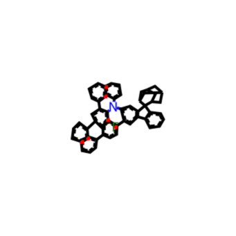 Fc1cc(-c2ccccc2)cc(-c2ccccc2)c1N(c1ccccc1)c1cc2c(cc1-c1ccc(-c3ccccc3)cc1)-c1ccccc1C21C2CC3CC(C2)CC1C3